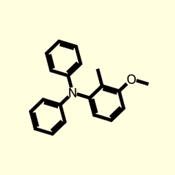 COc1cccc(N(c2ccccc2)c2ccccc2)c1C